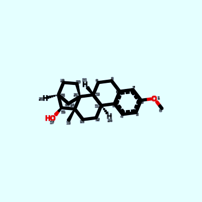 COc1ccc2c(c1)CC[C@@H]1[C@@H]2CC[C@]2(C)[C@@H](O)[C@H]3CC[C@@]12C3